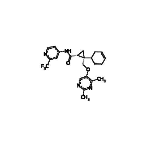 Cc1ncc(OC[C@@]2(C3C=CC=CC3)C[C@H]2C(=O)Nc2ccnc(C(F)(F)F)c2)c(C)n1